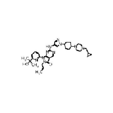 C=CCn1c(=O)c2cnc(Nc3cnn(C4CCC(N5CCN(CC6CC6)CC5)CC4)c3)nc2n1-c1cccc(C(C)(C)O)n1